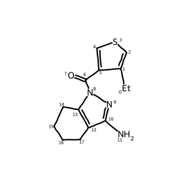 CCc1cscc1C(=O)n1nc(N)c2c1CCCC2